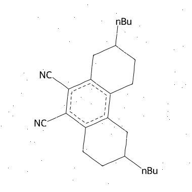 CCCCC1CCc2c(c(C#N)c(C#N)c3c2CC(CCCC)CC3)C1